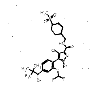 CCn1nc(C(=O)NCC2CCC(S(C)(=O)=O)CC2)c(Cl)c1-c1ccc([C@H](O)C(C)(C)C(F)(F)F)cc1OC(F)F